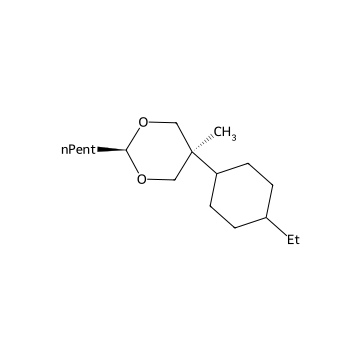 CCCCC[C@H]1OC[C@@](C)(C2CCC(CC)CC2)CO1